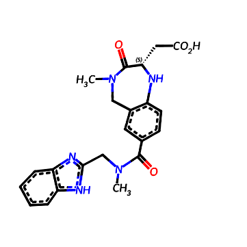 CN(Cc1nc2ccccc2[nH]1)C(=O)c1ccc2c(c1)CN(C)C(=O)[C@H](CC(=O)O)N2